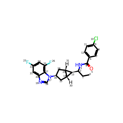 CCC(NC(=O)c1ccc(Cl)cc1)[C@H]1[C@@H]2C[C@@H](n3cnc4cc(F)cc(F)c43)C[C@@H]21